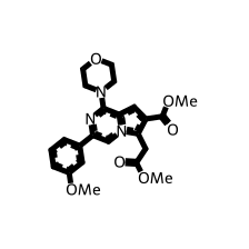 COC(=O)Cc1c(C(=O)OC)cc2c(N3CCOCC3)nc(-c3cccc(OC)c3)cn12